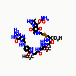 CC1=C(NCCSSC[C@H](NC(=O)[C@H](CC(=O)O)NC(=O)[C@@H](N)CNC(=O)CC[C@@H](NC(=O)c2ccc(NCc3cnc4nc(N)[nH]c(=O)c4n3)cc2)C(=O)O)C(=O)O)C(=O)C2=C(C1=O)N1CN[C@@H](C)C1[C@@H]2COC(N)=O